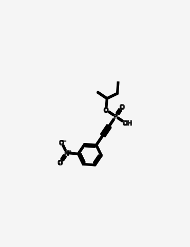 CCC(C)OP(=O)(O)C#Cc1cccc([N+](=O)[O-])c1